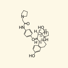 C[C@]12C[C@H](Oc3ccc(NC(=O)CN4CCCC4)cc3)[C@@H]3c4ccc(O)cc4CC[C@H]3[C@@H]1CC[C@@H]2O